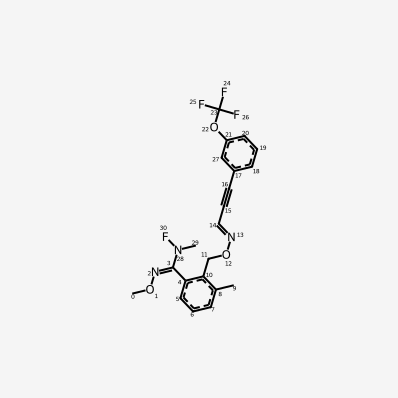 CO/N=C(\c1cccc(C)c1CO/N=C/C#Cc1cccc(OC(F)(F)F)c1)N(C)F